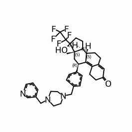 C[C@]12C[C@H](c3ccc(CN4CCN(Cc5cccnc5)CC4)cc3)C3=C4CCC(=O)C=C4CC[C@H]3[C@@H]1CC[C@@]2(O)C(F)(F)C(F)(F)F